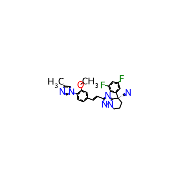 COc1cc(/C=C/c2nc3n(n2)CCC[C@]3(C#N)c2cc(F)cc(F)c2)ccc1-n1cnc(C)c1